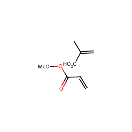 C=C(C)C(=O)O.C=CC(=O)OOC